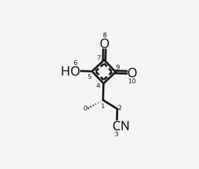 C[C@@H](CC#N)c1c(O)c(=O)c1=O